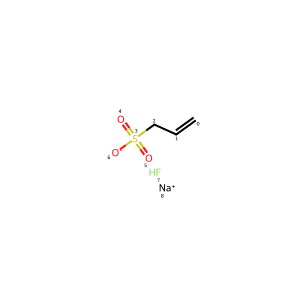 C=CCS(=O)(=O)[O-].F.[Na+]